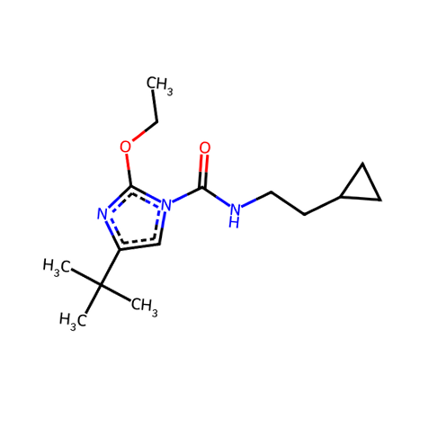 CCOc1nc(C(C)(C)C)cn1C(=O)NCCC1CC1